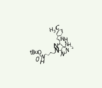 Cc1ccc2[nH]c(-c3nn(CCCCNC(=O)OC(C)(C)C)c4ncnc(N)c34)cc2c1